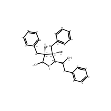 [O]C1O[C@H](C(O)Cc2ccccc2)[C@](O)(Cc2ccccc2)[C@]1(O)Cc1ccccc1